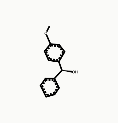 COc1ccc([C@@H](O)c2ccccc2)cc1